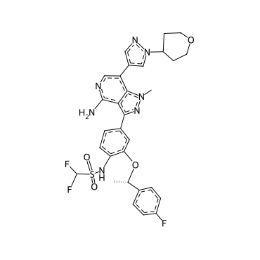 C[C@H](Oc1cc(-c2nn(C)c3c(-c4cnn(C5CCOCC5)c4)cnc(N)c23)ccc1NS(=O)(=O)C(F)F)c1ccc(F)cc1